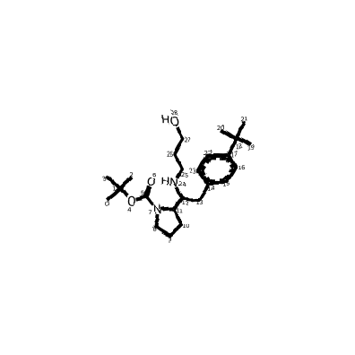 CC(C)(C)OC(=O)N1CCCC1C(Cc1ccc(C(C)(C)C)cc1)NCCCO